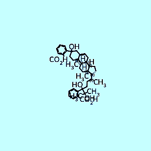 C[C@H](CCC(O)(c1ccccc1C(=O)O)C(C)(C)O)[C@H]1CC[C@H]2[C@@H]3CC=C4CC(O)(c5ccccc5C(=O)O)CC[C@]4(C)[C@H]3CC[C@]12C